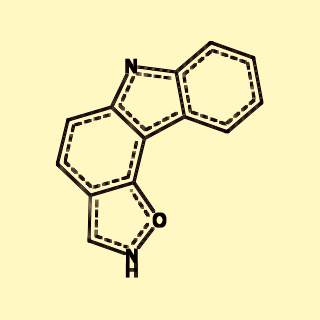 c1ccc2c(c1)nc1ccc3c[nH]oc3c12